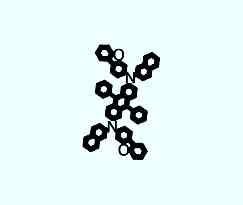 c1ccc(-c2c3ccc(N(c4ccc5ccccc5c4)c4ccc5c(c4)oc4ccccc45)cc3c(-c3ccccc3)c3ccc(N(c4ccc5ccccc5c4)c4ccc5c(c4)oc4ccccc45)cc23)cc1